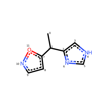 C[C](c1c[nH]cn1)c1ccno1